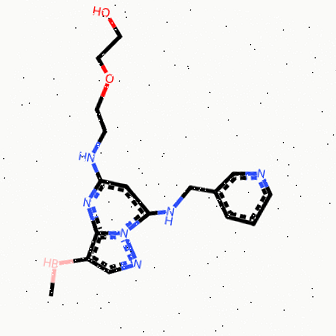 CBc1cnn2c(NCc3cccnc3)cc(NCCOCCO)nc12